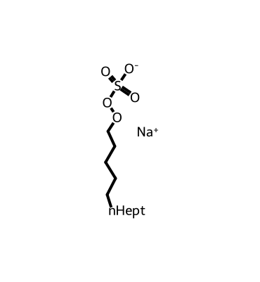 CCCCCCCCCCCCOOS(=O)(=O)[O-].[Na+]